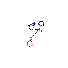 O=C1c2ccccc2Nc2cc(Cl)ccc2N1CCCOC1CCCCO1